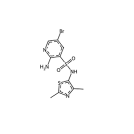 Cc1nc(C)c(NS(=O)(=O)c2cc(Br)cnc2N)s1